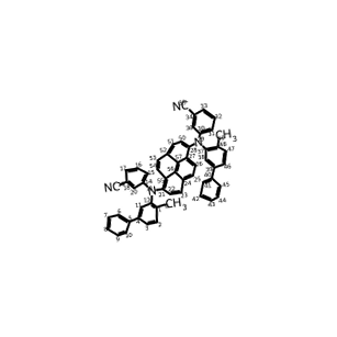 Cc1ccc(-c2ccccc2)cc1N(c1cccc(C#N)c1)c1ccc2ccc3c(N(c4cccc(C#N)c4)c4cc(-c5ccccc5)ccc4C)ccc4ccc1c2c43